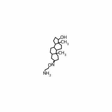 CC12CCC3C(CCC4CC(=NOCCN)CCC43C)C1CCC2O